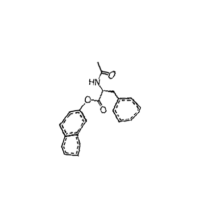 CC(=O)N[C@@H](Cc1ccccc1)C(=O)Oc1ccc2ccccc2c1